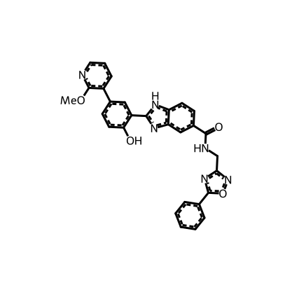 COc1ncccc1-c1ccc(O)c(-c2nc3cc(C(=O)NCc4noc(-c5ccccc5)n4)ccc3[nH]2)c1